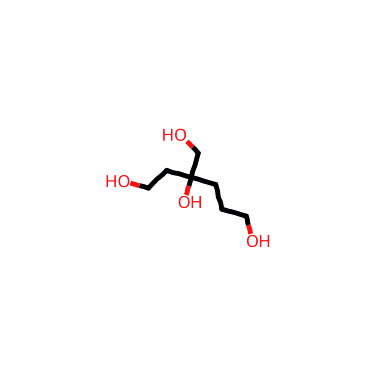 OCCCC(O)(CO)CCO